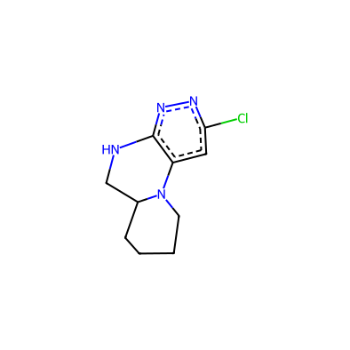 Clc1cc2c(nn1)NCC1CCCCN21